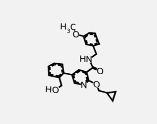 COc1cccc(CNC(=O)c2cc(-c3ccccc3CO)cnc2OCC2CC2)c1